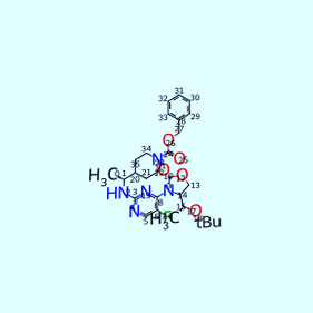 C[C@H](Nc1ncc(F)c(N2C(=O)OCC2[C@H](C)OC(C)(C)C)n1)C1CCN(C(=O)OCc2ccccc2)CC1